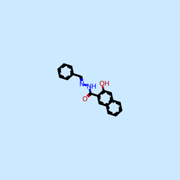 O=C(NN=Cc1ccccc1)c1cc2ccccc2cc1O